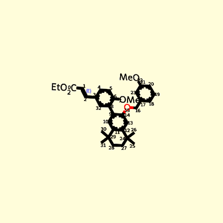 CCOC(=O)/C=C/c1ccc(OC)c(-c2cc3c(cc2OCc2cccc(OC)c2)C(C)(C)CCC3(C)C)c1